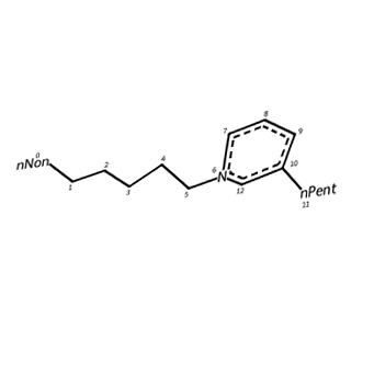 CCCCCCCCCCCCCC[n+]1cccc(CCCCC)c1